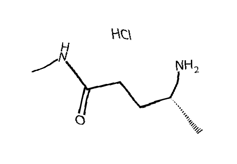 CNC(=O)CC[C@@H](C)N.Cl